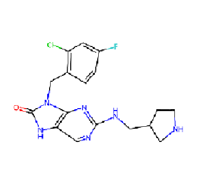 O=c1[nH]c2cnc(NCC3CCNC3)nc2n1Cc1ccc(F)cc1Cl